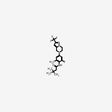 Cc1cc(N2CCn3nc(C(F)(F)F)cc3C2)cc(F)c1NC(=O)CC(C)(C)C